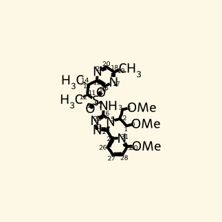 COCC(COC)n1c(NS(=O)(=O)[C@@H](C)[C@H](C)c2cnc(C)cn2)nnc1-c1cccc(OC)n1